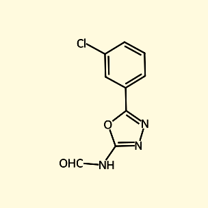 O=CNc1nnc(-c2cccc(Cl)c2)o1